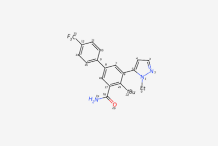 CCn1nccc1-c1cc(-c2ccc(C(F)(F)F)cc2)cc(C(N)=O)c1C(C)(C)C